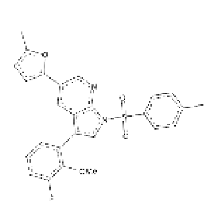 COc1c(F)cccc1-c1cn(S(=O)(=O)c2ccc(C)cc2)c2ncc(-c3ccc(C)o3)cc12